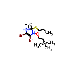 CCCSC1(C)NC(Br)=C(Br)N1OCC[Si](C)(C)C